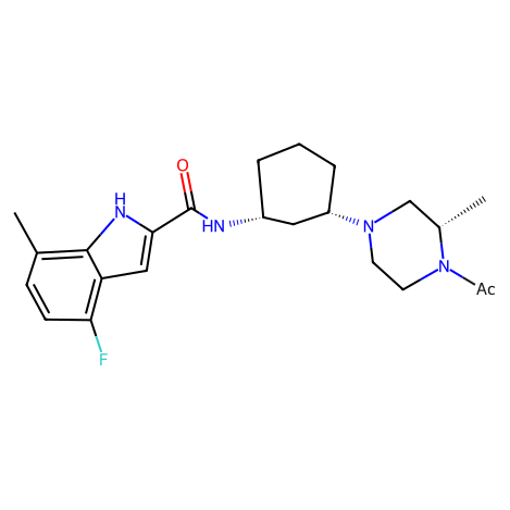 CC(=O)N1CCN([C@H]2CCC[C@@H](NC(=O)c3cc4c(F)ccc(C)c4[nH]3)C2)C[C@@H]1C